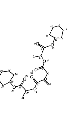 C=C(CC(=O)OC(C)C(=O)OC1CCCCC1)C(=O)OC(C)C(=O)OC1CCCCC1